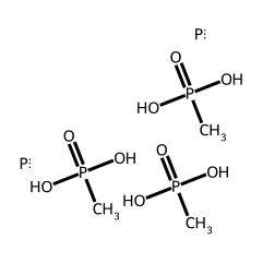 CP(=O)(O)O.CP(=O)(O)O.CP(=O)(O)O.[P].[P]